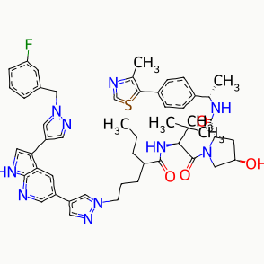 CCCC(CCCn1cc(-c2cnc3[nH]cc(-c4cnn(Cc5cccc(F)c5)c4)c3c2)cn1)C(=O)N[C@H](C(=O)N1C[C@H](O)C[C@H]1C(=O)N[C@@H](C)c1ccc(-c2scnc2C)cc1)C(C)(C)C